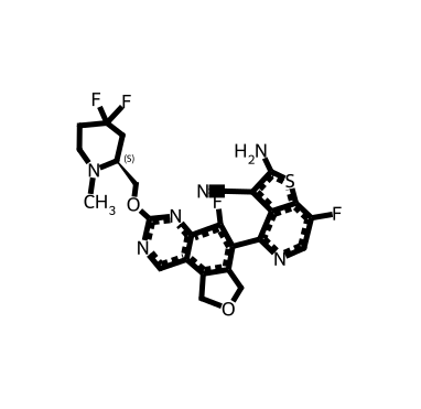 CN1CCC(F)(F)C[C@H]1COc1ncc2c3c(c(-c4ncc(F)c5sc(N)c(C#N)c45)c(F)c2n1)COC3